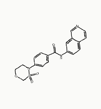 O=C(Nc1ccc2ccncc2c1)c1ccc(N2CCOCS2(=O)=O)cc1